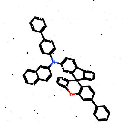 c1ccc(-c2ccc(N(c3ccc4c(c3)C3(c5ccccc5Oc5cc(-c6ccccc6)ccc53)c3ccccc3-4)c3ccc4ccccc4c3)cc2)cc1